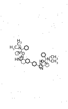 CCN(CC)[C@@H](C(=O)N1CCC[C@H]1c1ncc(-c2ccc(-c3ccc4c(c3)CCc3[nH]c([C@@H]5CCCN5C(=O)[C@@H](c5ccccc5)N(CC)CC)nc3-4)cc2)[nH]1)c1ccccc1